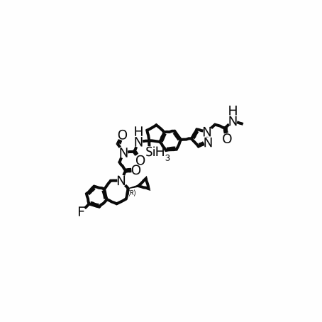 CNC(=O)Cn1cc(-c2ccc3c(c2)CCC3([SiH3])NC(=O)N(C=O)CC(=O)N2Cc3ccc(F)cc3CC[C@@H]2C2CC2)cn1